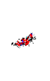 CCOP(=O)(CCN(C)CC(CCCN(c1cc(C)c(/N=c2\sc3ccccc3n2COCC[Si](C)(C)C)nn1)c1nc(C(=O)OC)c(CCCOc2ccc(C#CCN(C)C(=O)OC(C)(C)C)cc2F)s1)O[Si](c1ccccc1)(c1ccccc1)C(C)(C)C)OCC